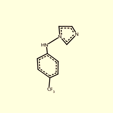 FC(F)(F)c1ccc(Nn2ccnc2)cc1